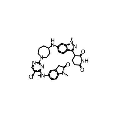 CN1C(=O)Cc2cc(Nc3nc(N4CCCC(Nc5ccc6c(C7CCC(=O)NC7=O)nn(C)c6c5)CC4)ncc3Cl)ccc21